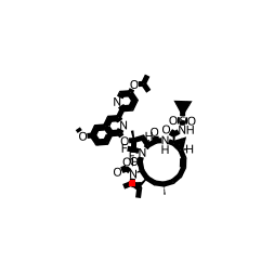 CCC(C)N(C(=O)O)[C@@H]1C(=O)N2[C@@H](C[C@@](C)(Oc3nc(-c4ccc(OC(C)C)cn4)cc4cc(OC)ccc34)C2(F)F)C(=O)N[C@]2(C(=O)NS(=O)(=O)C3CC3)C[C@H]2/C=C\CC[C@H](C)C[C@H]1CC